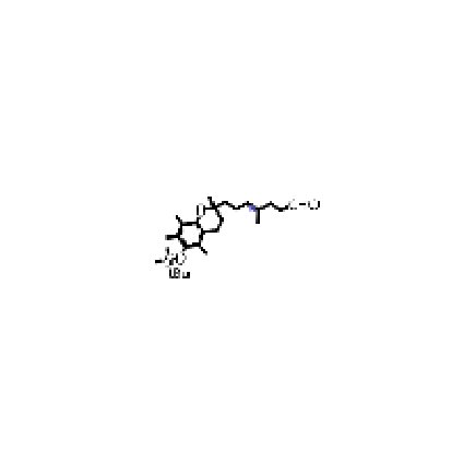 C/C(=C\CCC1(C)CCc2c(C)c(O[Si](C)(C)C(C)(C)C)c(C)c(C)c2O1)CCC=O